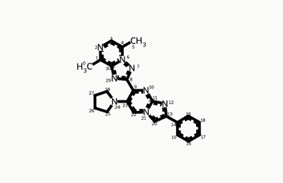 Cc1ncc(C)n2nc(-c3nc4nc(-c5ccccc5)cn4cc3N3CCCC3)nc12